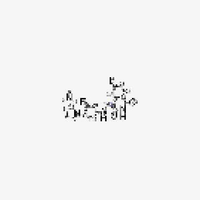 CN(C)CC1CCCN1c1ccc(N/C=C2\C(=O)NC(=O)c3ccc(I)cc32)cc1F